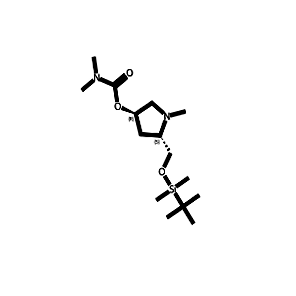 CN(C)C(=O)O[C@@H]1C[C@@H](CO[Si](C)(C)C(C)(C)C)N(C)C1